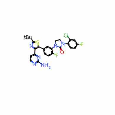 CC(C)(C)c1nc(-c2ccnc(N)n2)c(-c2ccc(F)c(N3CCN(c4ccc(F)cc4Cl)C3=O)c2)s1